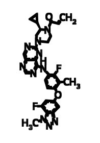 C=CC(=O)N1CCN(c2ncc3ncnc(Nc4ccc(Oc5cc(F)c6c(c5)nnn6C)c(C)c4F)c3n2)C[C@H]1C1CC1